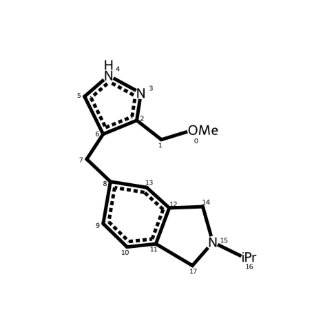 COCc1n[nH]cc1Cc1ccc2c(c1)CN(C(C)C)C2